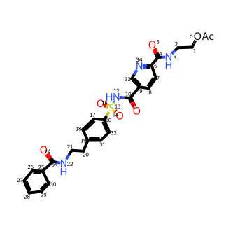 CC(=O)OCCNC(=O)c1ccc(C(=O)NS(=O)(=O)c2ccc(CCNC(=O)c3ccccc3)cc2)cn1